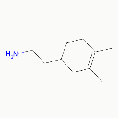 CC1=C(C)CC(CCN)CC1